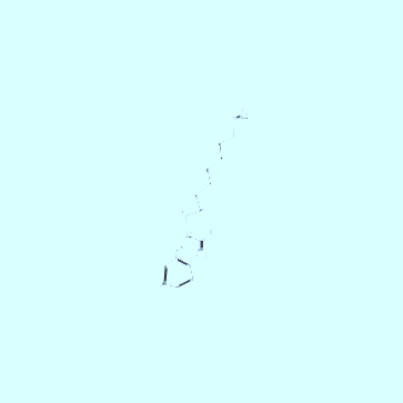 O=C(O)C(CCCCCCCCC=S)Oc1ccccc1